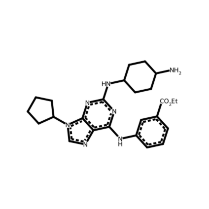 CCOC(=O)c1cccc(Nc2nc(NC3CCC(N)CC3)nc3c2ncn3C2CCCC2)c1